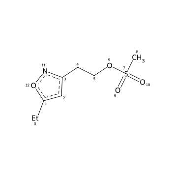 CCc1cc(CCOS(C)(=O)=O)no1